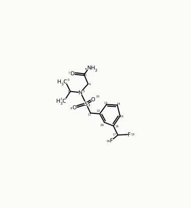 CC(C)N(CC(N)=O)S(=O)(=O)Cc1cccc(C(F)F)c1